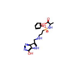 CC(NP(=O)(CCCNCc1c[nH]c2c(O)ncnc12)Oc1ccccc1)C(=O)O